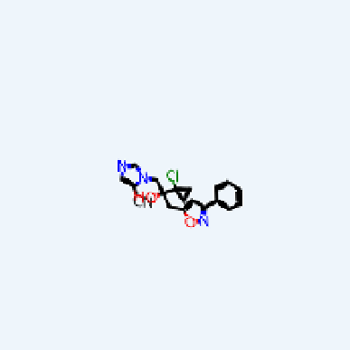 N#Cc1cncn1CC(O)(Cc1cc(-c2ccccc2)no1)C1(Cl)CC1